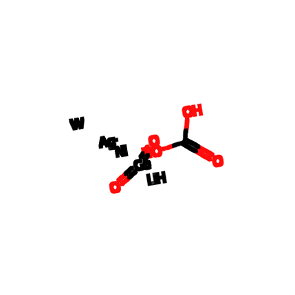 O=C(O)O.[Ag].[LiH].[Ni].[O]=[Ge]=[O].[W]